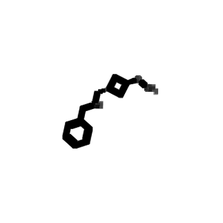 CO[C@H]1C[C@H](CNCc2ccccc2)C1